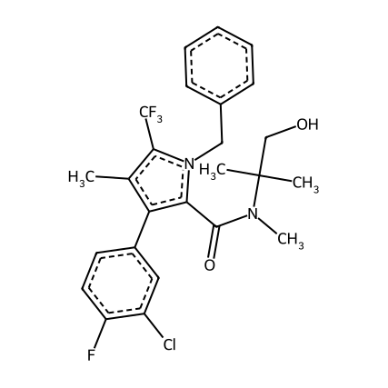 Cc1c(-c2ccc(F)c(Cl)c2)c(C(=O)N(C)C(C)(C)CO)n(Cc2ccccc2)c1C(F)(F)F